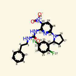 O=C(NCCc1ccccc1)Nc1nc(N2CCCC2c2cc(F)ccc2F)ccc1[N+](=O)[O-]